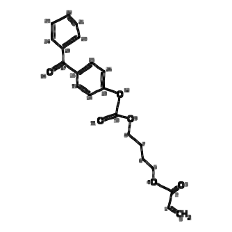 C=CC(=O)OCCCCOC(=O)Oc1ccc(C(=O)c2ccccc2)cc1